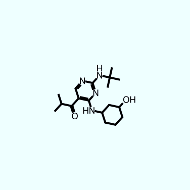 CC(C)C(=O)c1cnc(NC(C)(C)C)nc1NC1CCCC(O)C1